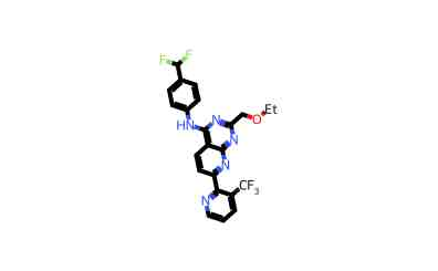 CCOCc1nc(Nc2ccc(C(F)F)cc2)c2ccc(-c3ncccc3C(F)(F)F)nc2n1